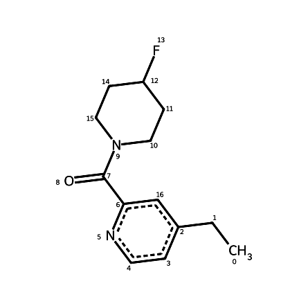 CCc1ccnc(C(=O)N2CCC(F)CC2)c1